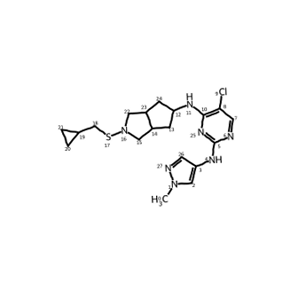 Cn1cc(Nc2ncc(Cl)c(NC3CC4CN(SCC5CC5)CC4C3)n2)cn1